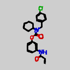 CCC(=O)Nc1cccc(OC(=O)N(Cc2ccc(Cl)cc2)C2CCCCC2)c1